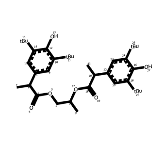 CC(COC(=O)C(C)c1cc(C(C)(C)C)c(O)c(C(C)(C)C)c1)OC(=O)C(C)c1cc(C(C)(C)C)c(O)c(C(C)(C)C)c1